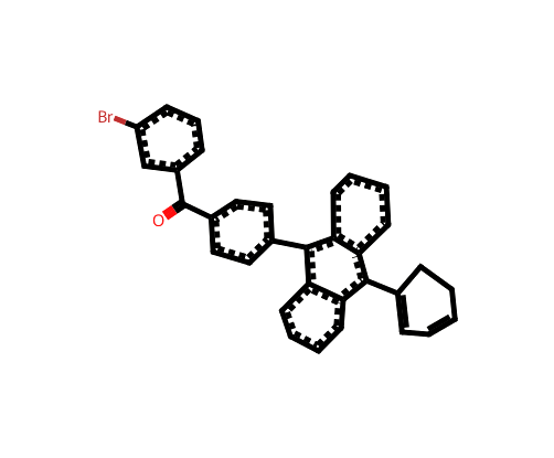 O=C(c1ccc(-c2c3ccccc3c(C3=CC=CCC3)c3ccccc23)cc1)c1cccc(Br)c1